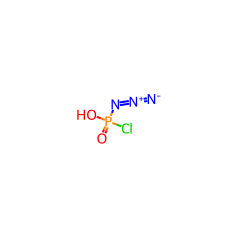 [N-]=[N+]=NP(=O)(O)Cl